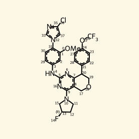 COc1cc(Nc2nc3c(c(N4CC[C@@H](F)C4)n2)COCC3c2ccc(OC(F)(F)F)cc2)ccc1-n1cnc(Cl)c1